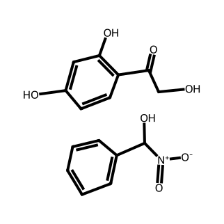 O=C(CO)c1ccc(O)cc1O.O=[N+]([O-])C(O)c1ccccc1